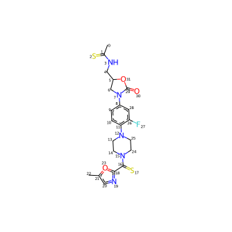 CC(=S)NCC1CN(c2ccc(N3CCN(C(=S)c4ncc(C)o4)CC3)c(F)c2)C(=O)O1